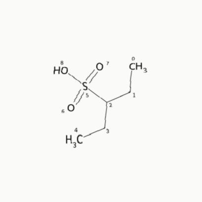 CCC(CC)S(=O)(=O)O